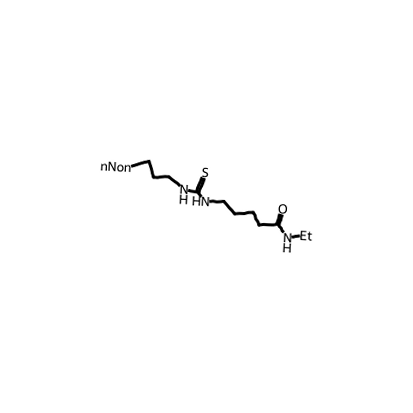 CCCCCCCCCCCCNC(=S)NCCCCC(=O)NCC